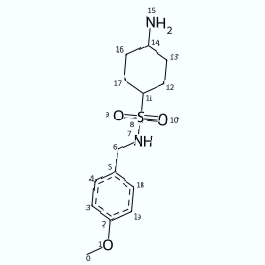 COc1ccc(CNS(=O)(=O)C2CCC(N)CC2)cc1